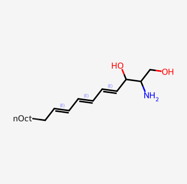 CCCCCCCCC/C=C/C=C/C=C/C(O)C(N)CO